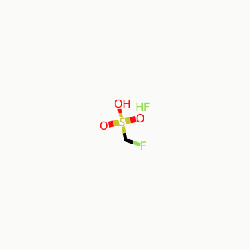 F.O=S(=O)(O)CF